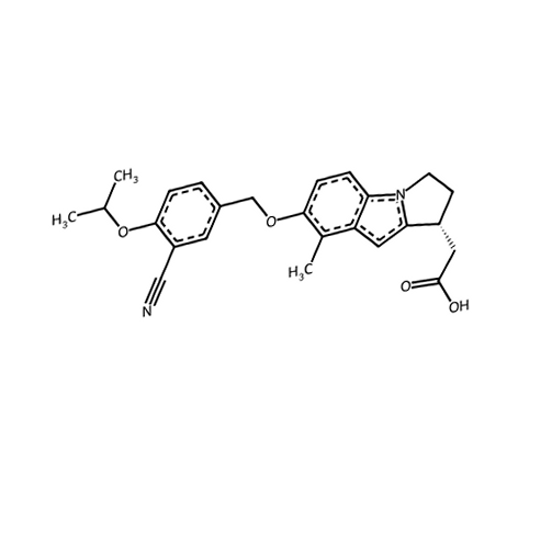 Cc1c(OCc2ccc(OC(C)C)c(C#N)c2)ccc2c1cc1n2CC[C@@H]1CC(=O)O